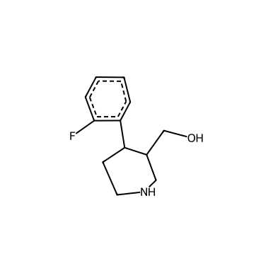 OCC1CNCCC1c1ccccc1F